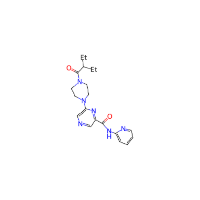 CCC(CC)C(=O)N1CCN(c2cncc(C(=O)Nc3ccccn3)n2)CC1